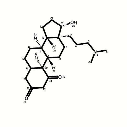 CN(C)CCC[C@]12CC[C@H]3[C@@H](CCC4CC(=O)CC(=O)[C@@H]43)[C@@H]1CC[C@@H]2O